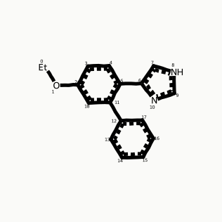 CCOc1ccc(-c2c[nH]cn2)c(-c2ccccc2)c1